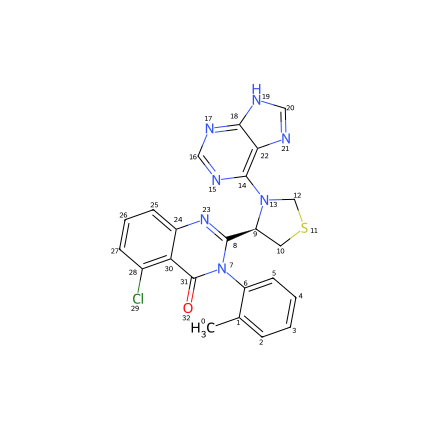 Cc1ccccc1-n1c([C@@H]2CSCN2c2ncnc3[nH]cnc23)nc2cccc(Cl)c2c1=O